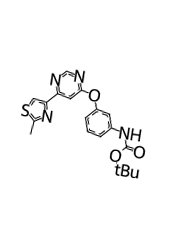 Cc1nc(-c2cc(Oc3cccc(NC(=O)OC(C)(C)C)c3)ncn2)cs1